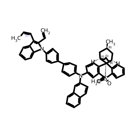 C=Cc1c(/C=C\C)c2ccccc2n1-c1ccc(-c2ccc(N(c3ccc4c(c3)S(=O)(=O)c3ccccc3C43[C@@H]4C[C@H](C)C[C@H]3C[C@H](C=C)C4)c3ccc4ccccc4c3)cc2)cc1